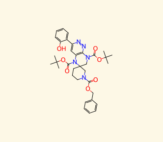 CC(C)(C)OC(=O)N1CC2(CCCN(C(=O)OCc3ccccc3)C2)N(C(=O)OC(C)(C)C)c2cc(-c3ccccc3O)nnc21